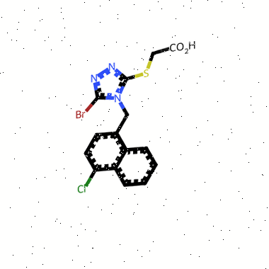 O=C(O)CSc1nnc(Br)n1Cc1ccc(Cl)c2ccccc12